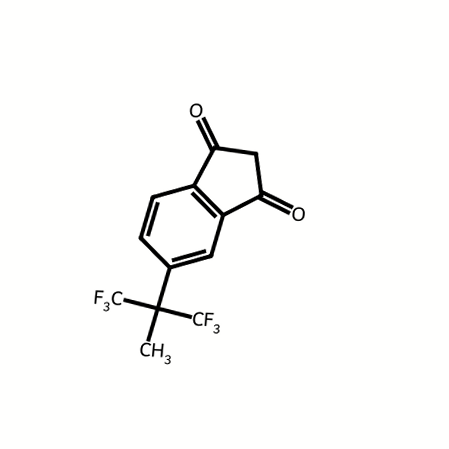 CC(c1ccc2c(c1)C(=O)CC2=O)(C(F)(F)F)C(F)(F)F